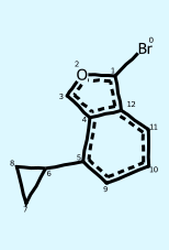 Brc1occ2c(C3CC3)cccc12